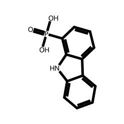 O=P(O)(O)c1cccc2c1[nH]c1ccccc12